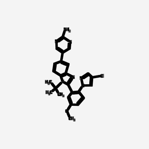 COc1ccc(-n2cc(Cl)cn2)c(-c2nc3cc(-c4cnc(N)nc4)ccc3n2C(C)(C)C)c1